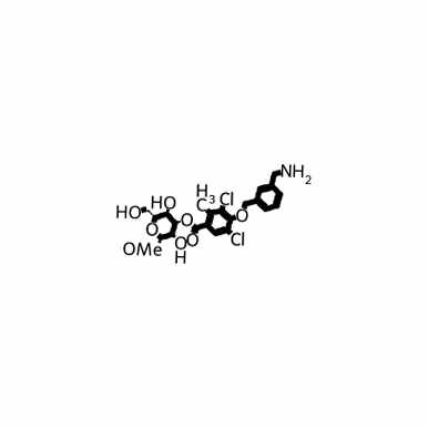 CO[C@H]1O[C@H](CO)[C@@H](O)[C@H](OC(=O)c2cc(Cl)c(OCc3cccc(CN)c3)c(Cl)c2C)[C@H]1O